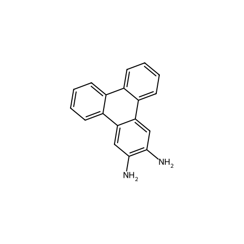 Nc1cc2c3ccccc3c3ccccc3c2cc1N